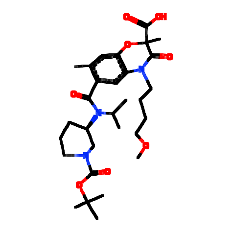 COCCCCN1C(=O)C(C)(C(=O)O)Oc2cc(C)c(C(=O)N(C(C)C)[C@@H]3CCCN(C(=O)OC(C)(C)C)C3)cc21